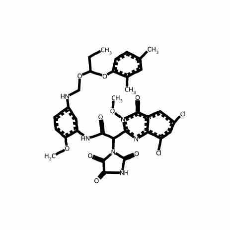 CCC(OCNc1ccc(OC)c(NC(=O)C(c2nc3c(Cl)cc(Cl)cc3c(=O)n2OC)N2C(=O)NC(=O)C2=O)c1)Oc1ccc(C)cc1C